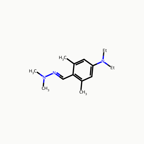 CCN(CC)c1cc(C)c(C=NN(C)C)c(C)c1